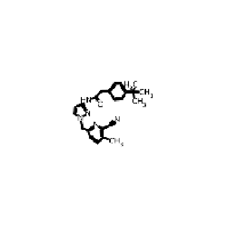 Cc1ccc(Cn2ccc(NC(=O)Cc3ccc(C(C)(C)C)cc3)n2)nc1C#N